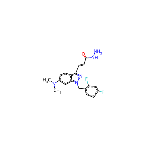 CN(C)c1ccc2c(C=CC(=O)NN)nn(Cc3ccc(F)cc3F)c2c1